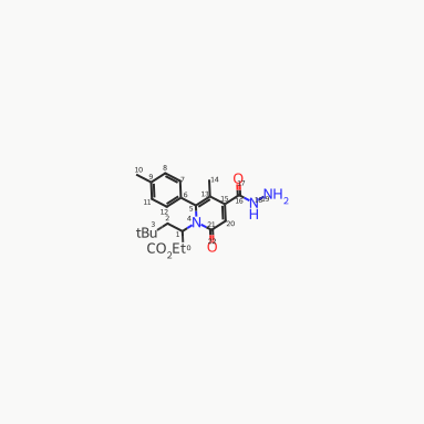 CCOC(=O)C(CC(C)(C)C)n1c(-c2ccc(C)cc2)c(C)c(C(=O)NN)cc1=O